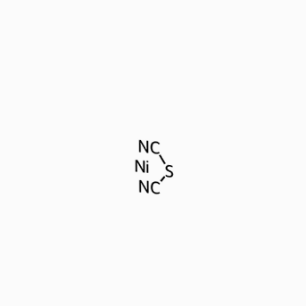 N#CSC#N.[Ni]